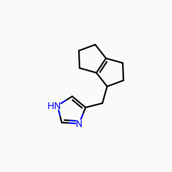 c1nc(CC2CCC3=C2CCC3)c[nH]1